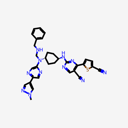 Cn1cc(-c2cnc(N(CNCc3ccccc3)[C@H]3CC[C@H](Nc4ncc(C#N)c(-c5ccc(C#N)s5)n4)CC3)cn2)cn1